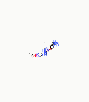 CC(C)OC(=O)N1CCC(n2ncc3c(Oc4ccc(C5(C)N=NN=N5)cc4)ncnc32)CC1